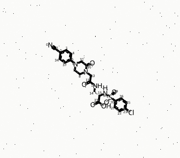 N#Cc1ccc(N2CCN(CC(=O)NC[C@H](NS(=O)(=O)c3ccc(Cl)cc3)C(=O)O)C(=O)C2)cc1